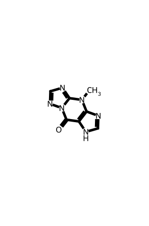 Cn1c2nc[nH]c2c(=O)n2ncnc12